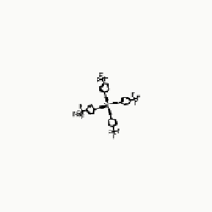 FC(F)(F)c1ccc(C#[C][Al-]([C]#Cc2ccc(C(F)(F)F)cc2)([C]#Cc2ccc(C(F)(F)F)cc2)[C]#Cc2ccc(C(F)(F)F)cc2)cc1.[Na+]